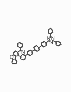 c1ccc(-c2nc(-c3ccccc3)nc(-c3ccc(-c4ccc(-c5ccc(-c6cccc7c6nc(-c6ccccc6)c6ccc8oc9ccccc9c8c67)cc5)cc4)cc3)n2)cc1